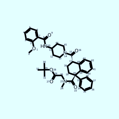 COc1ccccc1C(=O)NC1CCN(C(=O)[C@H]2CC[C@@](C(=O)N(C)CC(=O)OC(C)(C)C)(c3ccccc3)c3ccccc32)CC1